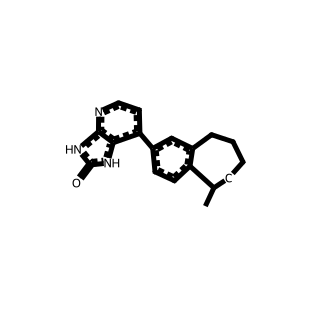 CC1CCCCc2cc(-c3ccnc4[nH]c(=O)[nH]c34)ccc21